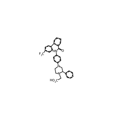 O=C(O)CN1CCN(c2ccc(NC(=O)c3ccccc3-c3ccc(C(F)(F)F)cc3)cc2)CC1c1ccccc1